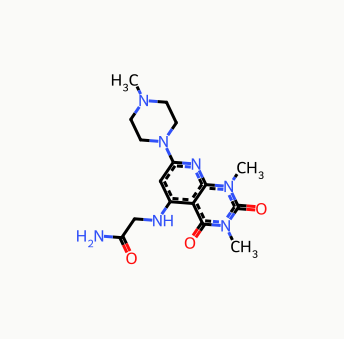 CN1CCN(c2cc(NCC(N)=O)c3c(=O)n(C)c(=O)n(C)c3n2)CC1